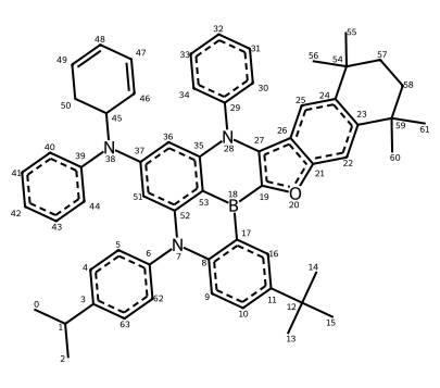 CC(C)c1ccc(N2c3ccc(C(C)(C)C)cc3B3c4oc5cc6c(cc5c4N(c4ccccc4)c4cc(N(c5ccccc5)C5C=CC=CC5)cc2c43)C(C)(C)CCC6(C)C)cc1